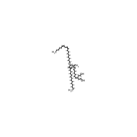 CCCCC/C=C\C/C=C\CCCCCCCCOC(CCCCCCCCCCCCCCC)O[Si](C)(C)OCCCCCCN(CCO)CCO